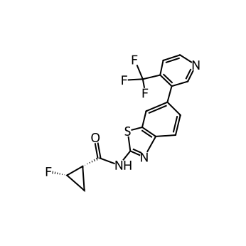 O=C(Nc1nc2ccc(-c3cnccc3C(F)(F)F)cc2s1)[C@@H]1C[C@@H]1F